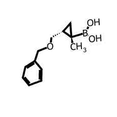 C[C@]1(B(O)O)C[C@H]1COCc1ccccc1